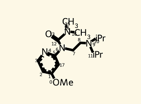 COc1ccnc(N(CCN(C(C)C)C(C)C)C(=O)N(C)C)c1